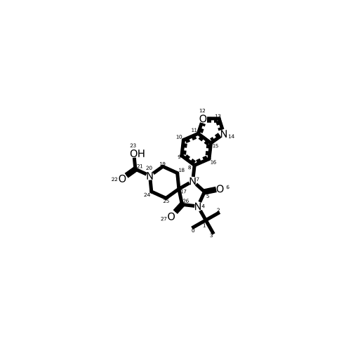 CC(C)(C)N1C(=O)N(c2ccc3ocnc3c2)C2(CCN(C(=O)O)CC2)C1=O